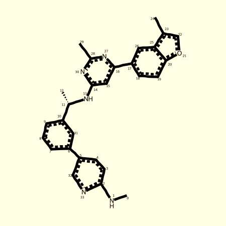 CNc1ccc(-c2cccc([C@H](C)Nc3cc(-c4ccc5occ(C)c5c4)nc(C)n3)c2)cn1